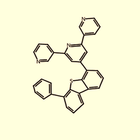 c1ccc(-c2cccc3c2sc2c(-c4cc(-c5cccnc5)nc(-c5cccnc5)c4)cccc23)cc1